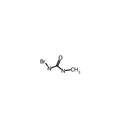 C[N]C(=O)[N]Br